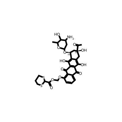 CC(=O)[C@]1(O)Cc2c(O)c3c(c(O)c2[C@@H](OC2CC(N)C(O)C(C)O2)C1)C(=O)c1c(OCOC(=O)C2SCCCS2)cccc1C3=O